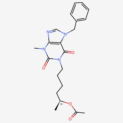 CC(=O)O[C@@H](C)CCCCn1c(=O)c2c(ncn2Cc2ccccc2)n(C)c1=O